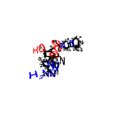 C[C@@H]1[C@H](O)[C@@H](COC(=O)N2CCC(N3CCCCC3)CC2)O[C@@]1(C#N)c1ccc2c(N)ncnn12